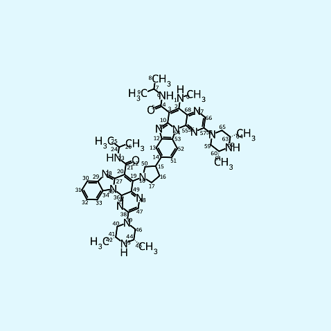 CNc1c(C(=O)NC(C)C)c2nc3cc(C4CCN(c5c(C(=O)NC(C)C)c6nc7ccccc7n6c6nc(N7C[C@@H](C)N[C@@H](C)C7)cnc56)C4)ccc3n2c2nc(N3C[C@@H](C)N[C@@H](C)C3)cnc12